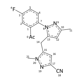 CC(=O)c1cc(F)ccc1-n1nc(C)cc1Cc1cc(C#N)nn1C